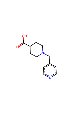 O=C(O)C1CCN(Cc2ccncc2)CC1